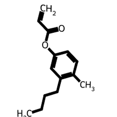 C=CC(=O)Oc1ccc(C)c(CCCC)c1